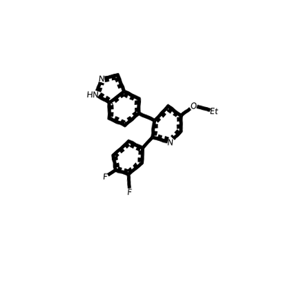 CCOc1cnc(-c2ccc(F)c(F)c2)c(-c2ccc3[nH]ncc3c2)c1